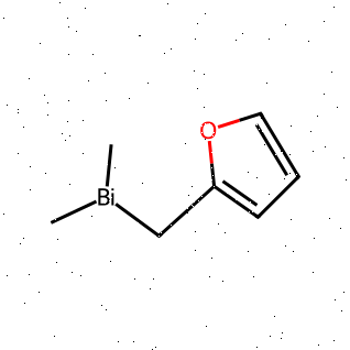 [CH3][Bi]([CH3])[CH2]c1ccco1